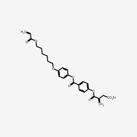 C=CC(=O)OCCCCCCOc1ccc(OC(=O)c2ccc(OC(=O)C(=C)CC(=O)OCC)cc2)cc1